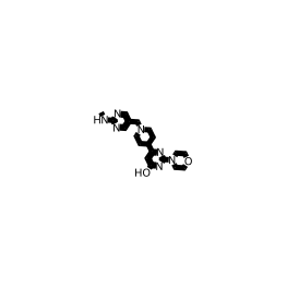 CNc1ncc(CN2CCC(c3cc(O)nc(N4CCOCC4)n3)CC2)cn1